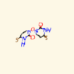 O=c1[nH]c(=S)ccn1On1ccc(=S)[nH]c1=O